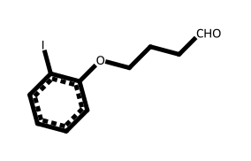 O=CCCCOc1ccccc1I